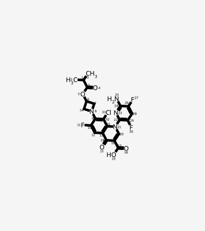 CC(C)C(=O)OC1CN(c2c(F)cc3c(=O)c(C(=O)O)cn(-c4nc(N)c(F)cc4F)c3c2Cl)C1